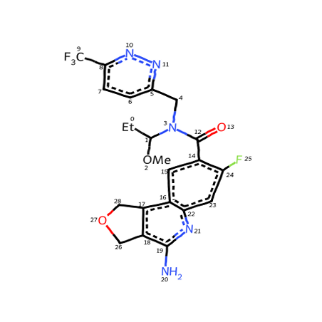 CCC(OC)N(Cc1ccc(C(F)(F)F)nn1)C(=O)c1cc2c3c(c(N)nc2cc1F)COC3